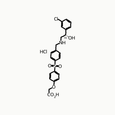 Cl.O=C(O)COc1ccc(S(=O)(=O)c2ccc(CNC[C@@H](O)c3cccc(Cl)c3)cc2)cc1